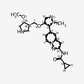 CO[C@H]1CNC[C@@H]1COc1cnn(C)c1-c1ccn2nc(NC(=O)C3CC3)cc2c1